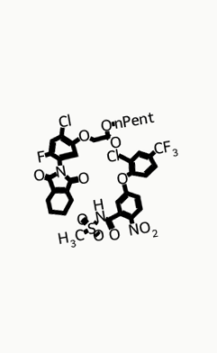 CCCCCOC(=O)COc1cc(N2C(=O)C3=C(CCCC3)C2=O)c(F)cc1Cl.CS(=O)(=O)NC(=O)c1cc(Oc2ccc(C(F)(F)F)cc2Cl)ccc1[N+](=O)[O-]